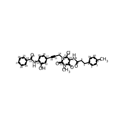 Cc1ccc(CCC(=O)Nc2c(Cl)n(CC#Cc3ccc(NC(=O)c4ccccc4)c(O)c3)c(=O)n(C)c2=O)cc1